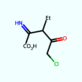 CCC(C(=N)C(=O)O)C(=O)CCl